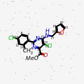 COC(=O)c1nc(-c2ccc(Cl)cc2C)nc(NCc2ccco2)c1Cl